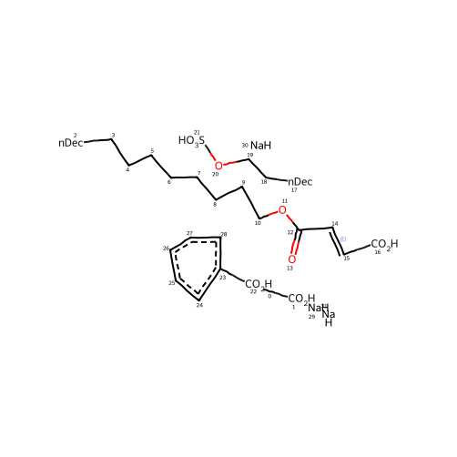 CC(=O)O.CCCCCCCCCCCCCCCCCCOC(=O)/C=C/C(=O)O.CCCCCCCCCCCCOS(=O)(=O)O.O=C(O)c1ccccc1.[NaH].[NaH].[NaH]